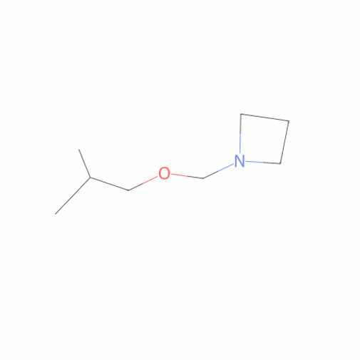 CC(C)COCN1CCC1